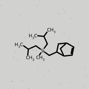 CC(C)C[Si](C)(CC(C)C)CC1CC2C=CC1C2